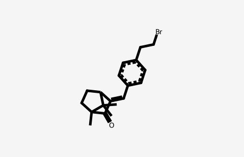 CC12CCC(C(=Cc3ccc(CCBr)cc3)C1=O)C2(C)C